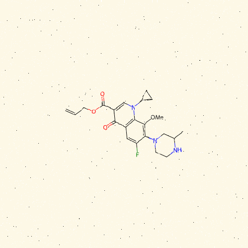 C=CCOC(=O)c1cn(C2CC2)c2c(OC)c(N3CCNC(C)C3)c(F)cc2c1=O